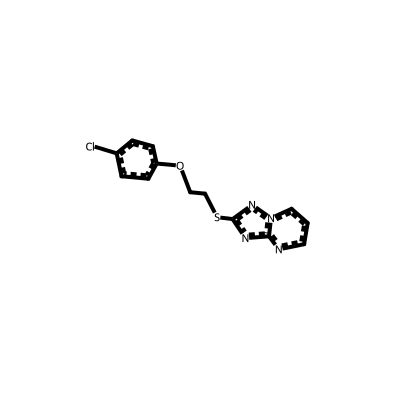 Clc1ccc(OCCSc2nc3ncccn3n2)cc1